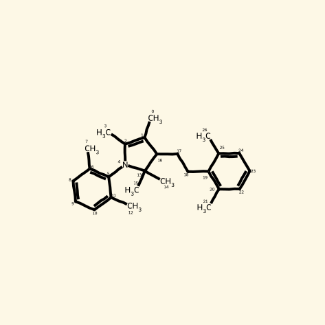 CC1=C(C)N(c2c(C)cccc2C)C(C)(C)C1CCc1c(C)cccc1C